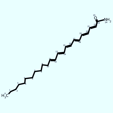 CCCCCCCCCCCC=CC=CC=CC=CC=CC=CC(N)=O